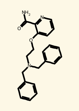 NC(=O)c1ncccc1OCCN(Cc1ccccc1)Cc1ccccc1